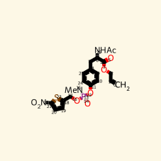 C=CCOC(=O)C(Cc1ccc(OP(=O)(NC)OCc2ccc([N+](=O)[O-])s2)cc1)NC(C)=O